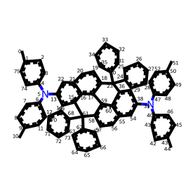 Cc1ccc(N(c2ccc(C)cc2)c2cc3c4c5c(ccc4c2)C(c2ccccc2)(c2ccccc2)c2cc(N(c4ccc(C)cc4)c4ccc(C)cc4)cc4ccc(c-5c24)C3(c2ccccc2)c2ccccc2)cc1